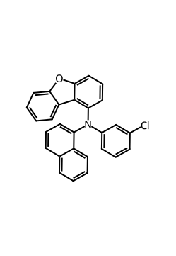 Clc1cccc(N(c2cccc3ccccc23)c2cccc3oc4ccccc4c23)c1